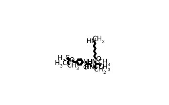 C=C(OCc1ccc(NC(=O)CNC(=C)C(NC(=O)CCCCCCNC)C(C)C)cc1)C(C)C